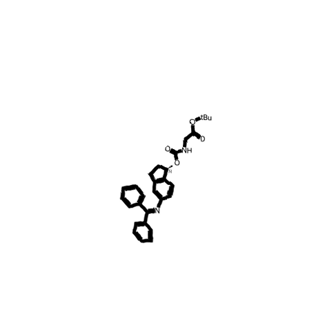 CC(C)(C)OC(=O)CNC(=O)O[C@H]1CCc2cc(N=C(c3ccccc3)c3ccccc3)ccc21